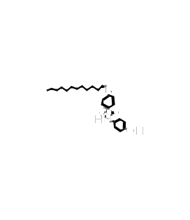 CCCCCCCCCCC/C=N\c1ccc(S(=O)(=O)Nc2ccc(O)cc2)cc1